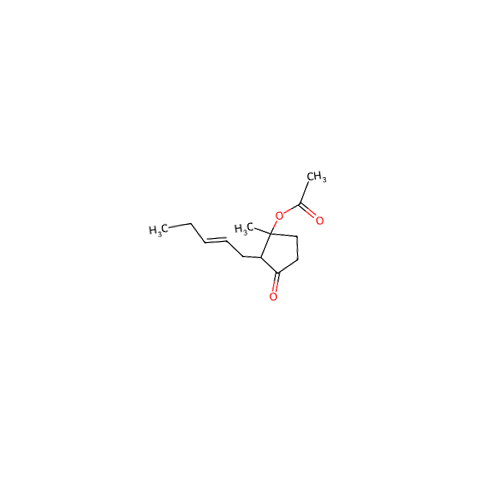 CCC=CCC1C(=O)CCC1(C)OC(C)=O